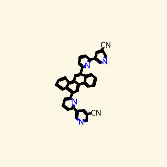 N#Cc1cncc(-c2cccc(-c3cc4c5ccccc5c(-c5cccc(-c6cncc(C#N)c6)n5)cc4c4ccccc34)n2)c1